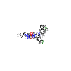 Cn1cnc(S(=O)(=O)N2CC(CNc3ccc(F)c(C(F)(F)F)c3)C(c3ccc(F)cc3)C2)c1